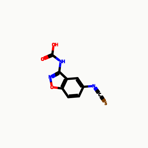 O=C(O)Nc1noc2ccc(N=C=S)cc12